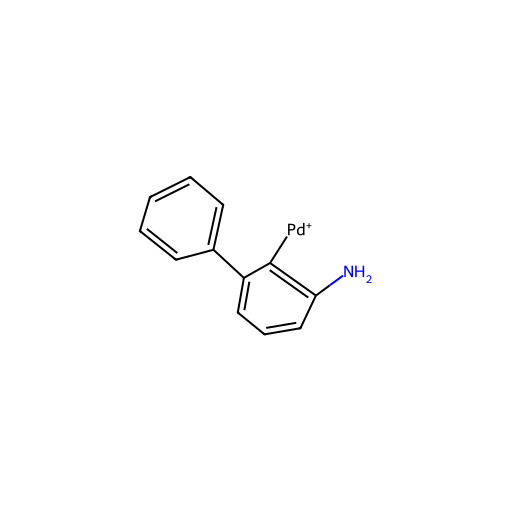 Nc1cccc(-c2ccccc2)[c]1[Pd+]